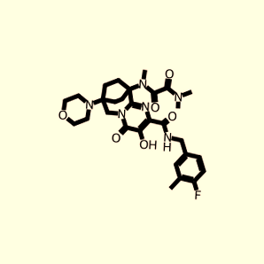 Cc1cc(CNC(=O)c2nc3n(c(=O)c2O)CC2(N4CCOCC4)CCC3(N(C)C(=O)C(=O)N(C)C)CC2)ccc1F